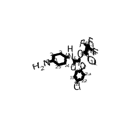 NC1CCC(NC(=O)C(OC(=O)C(F)(F)F)Oc2ccc(Cl)cc2)CC1